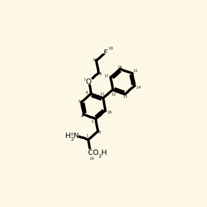 NC(Cc1ccc(OCCF)c(-c2ccccc2)c1)C(=O)O